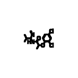 C=NC(NC(=O)C(C)Oc1ccc(Cl)cc1Cl)C(C)C